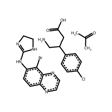 Brc1c(NC2=NCCN2)ccc2nccnc12.CC(C)=O.NCC(CC(=O)O)c1ccc(Cl)cc1